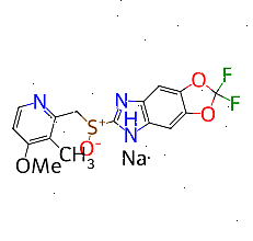 COc1ccnc(C[S+]([O-])c2nc3cc4c(cc3[nH]2)OC(F)(F)O4)c1C.[Na]